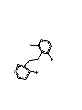 Cc1cccc(F)c1CCc1cnccc1F